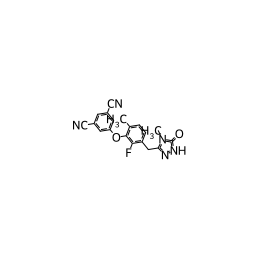 Cc1ccc(Cc2n[nH]c(=O)n2C)c(F)c1Oc1cc(C#N)cc(C#N)c1